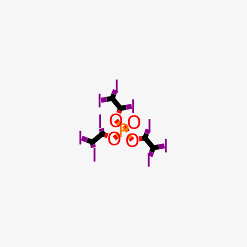 O=P(OC(I)C(I)I)(OC(I)C(I)I)OC(I)C(I)I